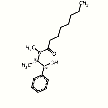 CCCCCCCC(=O)N(C)[C@@H](C)[C@@H](O)c1ccccc1